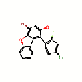 Oc1cc(Br)c2oc3ccccc3c2c1-c1ccc(Cl)cc1F